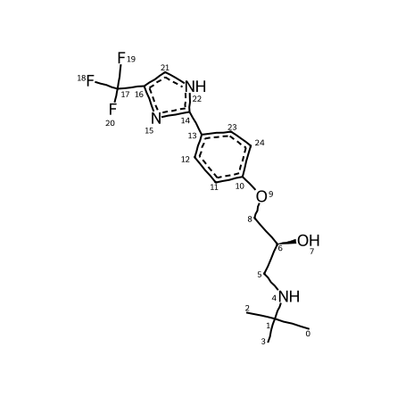 CC(C)(C)NC[C@H](O)COc1ccc(-c2nc(C(F)(F)F)c[nH]2)cc1